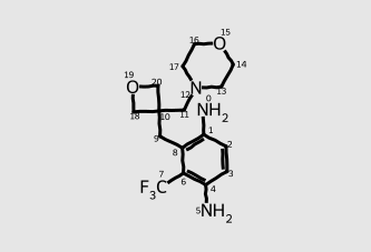 Nc1ccc(N)c(C(F)(F)F)c1CC1(CN2CCOCC2)COC1